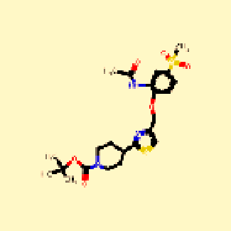 CC(=O)Nc1cc(S(C)(=O)=O)ccc1OCc1csc(C2CCN(C(=O)OC(C)(C)C)CC2)n1